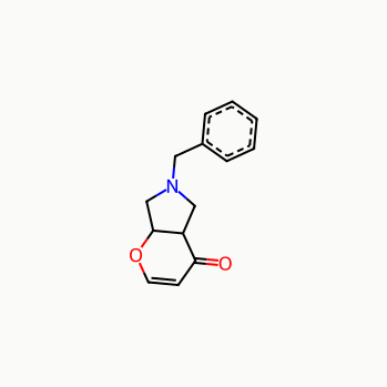 O=C1C=COC2CN(Cc3ccccc3)CC12